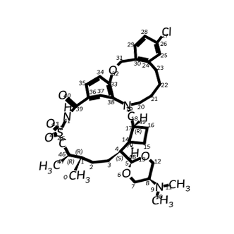 C[C@@H]1CC[C@H]([C@H]2OC[C@H](N(C)C)CO2)[C@@H]2CC[C@H]2CN2CCCCc3cc(Cl)ccc3COc3ccc(cc32)C(=O)NS(=O)(=O)C[C@@H]1C